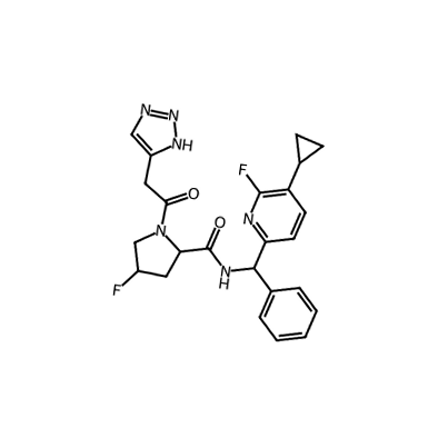 O=C(NC(c1ccccc1)c1ccc(C2CC2)c(F)n1)C1CC(F)CN1C(=O)Cc1cnn[nH]1